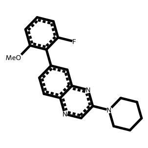 COc1cccc(F)c1-c1ccc2ncc(N3CCCCC3)nc2c1